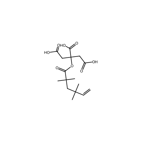 C=CC(C)(C)CC(C)(C)C(=O)OC(CC(=O)O)(CC(=O)O)C(=O)O